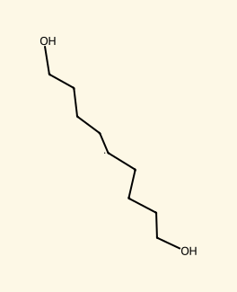 OCCCC[CH]CCCCO